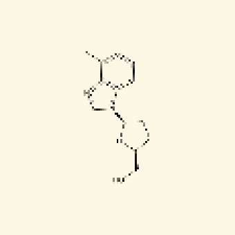 Cc1cccc2c1ncn2[C@H]1CC[C@@H](CO)O1